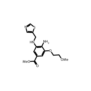 COCCOc1cc(C(=O)OC)cc(NCc2cncs2)c1N